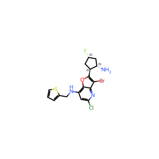 N[C@H]1C[C@@H](F)C[C@@H]1c1oc2c(NCc3cccs3)cc(Cl)nc2c1Br